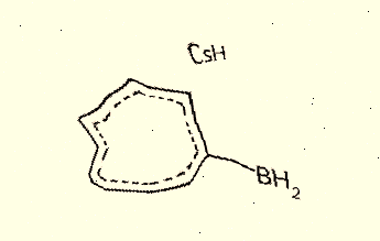 Bc1ccccc1.[CsH]